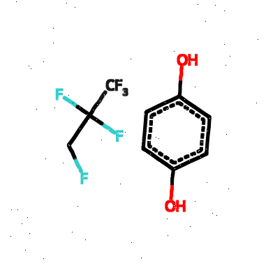 FCC(F)(F)C(F)(F)F.Oc1ccc(O)cc1